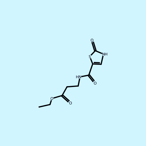 CCOC(=O)CCNC(=O)c1c[nH]c(=O)s1